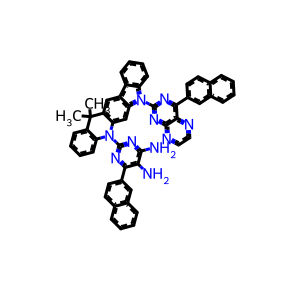 CC1(C)c2ccccc2N(c2nc(N)c(N)c(-c3ccc4ccccc4c3)n2)c2cc3c(cc21)c1ccccc1n3-c1nc(-c2ccc3ccccc3c2)c2nccnc2n1